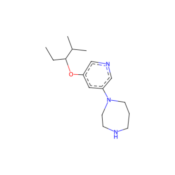 CCC(Oc1cncc(N2CCCNCC2)c1)C(C)C